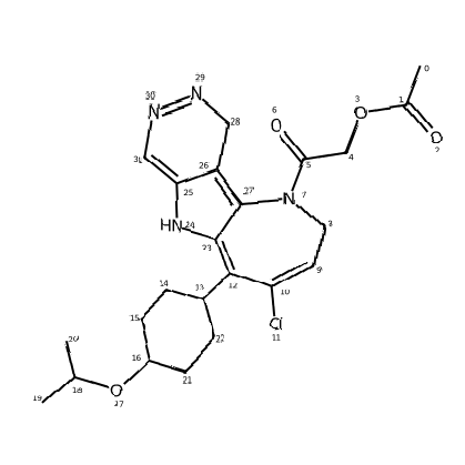 CC(=O)OCC(=O)N1CC=C(Cl)C(C2CCC(OC(C)C)CC2)=c2[nH]c3c(c21)CN=NC=3